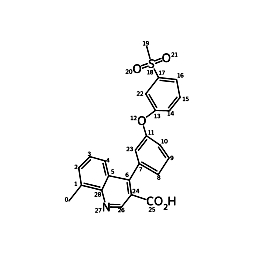 Cc1cccc2c(-c3cccc(Oc4cccc(S(C)(=O)=O)c4)c3)c(C(=O)O)cnc12